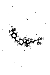 NC(CCCCB(O)O)(C(=O)O)C1CCN(Cc2ccc(C(F)(F)F)cc2)CC1